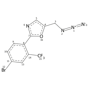 [N-]=[N+]=NCc1cnc(-c2ccc(Br)cc2C(F)(F)F)o1